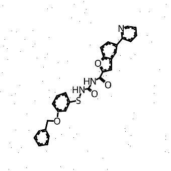 O=C(NSc1cccc(OCc2ccccc2)c1)NC(=O)c1cc2cc(-c3ccccn3)ccc2o1